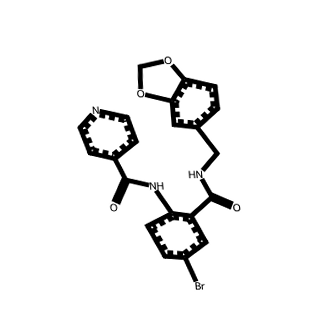 O=C(Nc1ccc(Br)cc1C(=O)NCc1ccc2c(c1)OCO2)c1ccncc1